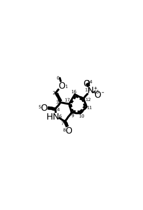 CO/C=C1/C(=O)NC(=O)c2ccc([N+](=O)[O-])cc21